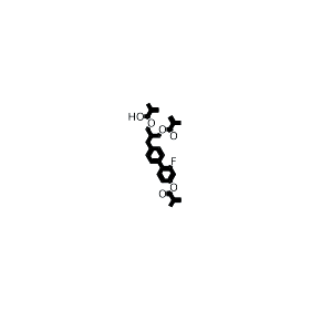 C=C(C)C(=O)OCC(COC(O)C(=C)C)Cc1ccc(-c2ccc(OC(=O)C(=C)C)cc2F)cc1